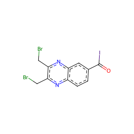 O=C(I)c1ccc2nc(CBr)c(CBr)nc2c1